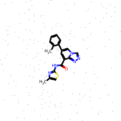 Cc1csc(NC(=O)c2cc(-c3ccccc3C)cn3cnnc23)n1